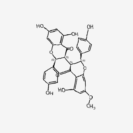 COc1cc(O)c2c(c1)O[C@H](c1ccc(O)cc1)[C@H]([C@@H]1C(=O)c3c(O)cc(O)cc3O[C@@H]1c1ccc(O)cc1)C2=O